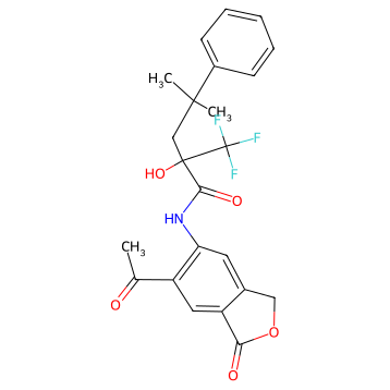 CC(=O)c1cc2c(cc1NC(=O)C(O)(CC(C)(C)c1ccccc1)C(F)(F)F)COC2=O